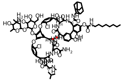 CCCCCCCCNC(=O)Oc1cc(O)c2c(c1)[C@@H](C(=O)NC1C3CC4CC(C3)CC1C4)NC(=O)[C@H]1NC(=O)[C@H](NC(=O)[C@@H]3NC(=O)[C@H](CC(N)=O)NC(=O)[C@H](NC(=O)[C@@H](CC(C)C)NC)[C@H](O)c4ccc(c(Cl)c4)Oc4cc3cc(c4OC3OC(CO)C(O)C(O)C3OC3CC(C)(N)C(O)C(C)O3)Oc3ccc(cc3Cl)[C@H]1O)c1ccc(O)c-2c1